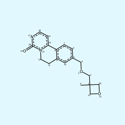 CC1(COCc2ccc3c(c2)CCn2c-3ccnc2=O)COC1